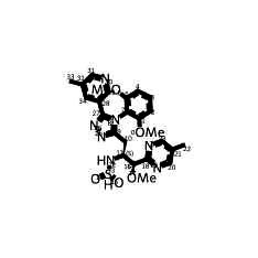 COc1cccc(OC)c1-n1c(C[C@H](N[SH](=O)=O)[C@H](OC)c2ncc(C)cn2)nnc1-c1cncc(C)c1